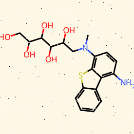 CN(CC(O)C(O)C(O)C(O)CO)c1ccc(N)c2c1sc1ccccc12